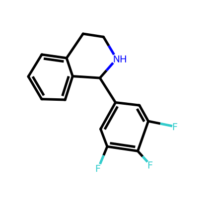 Fc1cc(C2NCCc3ccccc32)cc(F)c1F